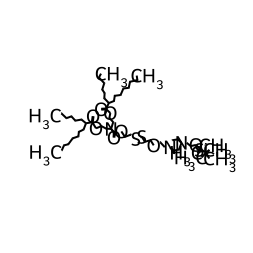 CCCCCCCCC(CCCCCC)C(=O)OCCN(CCOC(=O)C(CCCCCC)CCCCCCCC)C(=O)OCCSSCCOCCN1CCN(CCO[Si](C)(C)C(C)(C)C)CC1